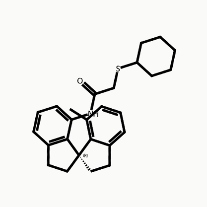 Cc1cccc2c1[C@@]1(CC2)CCc2cccc(NC(=O)CSC3CCCCC3)c21